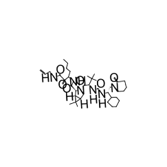 C=CCNC(=O)C(=O)C(CCCC)NC(=O)[C@@H]1[C@@H]2[C@H](CN1C(=O)[C@@H](NC(=O)N[C@H](CN1CCCCC1=O)C1CCCCC1)C(C)(C)C)C2(C)C